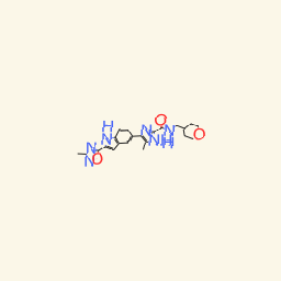 Cc1noc(-c2cc3cc(-c4nc(C(=O)NCC5CCOCC5)[nH]c4C)ccc3[nH]2)n1